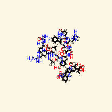 CC(C)C[C@H](NC(=O)[C@@H](COC(C)(C)C)NC(=O)[C@H](Cc1ccc(O)cc1)NC(=O)[C@H](CO)NC(=O)[C@H](Cc1c[nH]c2ccccc12)NC(=O)[C@H](Cc1c[nH]cn1)NC(=O)[C@@H]1CCC(=O)N1)C(=O)N[C@@H](CCCNC(=N)N)C(=O)N1CCC[C@H]1C(=O)NNC(N)=O.CC[C@@]1(O)C(=O)OCc2c1cc1n(c2=O)Cc2cc3c([N+](=O)[O-])cccc3nc2-1